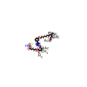 CC(=O)OCC1OC(CCCCCCOc2cccc(-c3cn(CC4O[C@H](OCCCCC(=O)ONS)C(C)[C@@H](C)[C@H]4OC(C)=O)nn3)c2)C(C)[C@@H](C)[C@H]1OC(C)=O